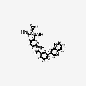 N=CN(C(=N)c1cccc(NC(=O)c2cccc(-c3cnc4cccnc4c3)c2)n1)C1CC1